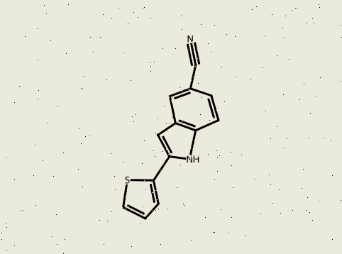 N#Cc1ccc2[nH]c(-c3cccs3)cc2c1